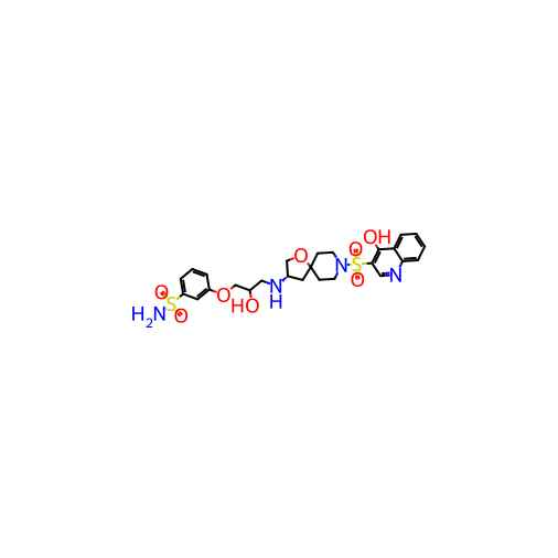 NS(=O)(=O)c1cccc(OCC(O)CN[C@H]2COC3(CCN(S(=O)(=O)c4cnc5ccccc5c4O)CC3)C2)c1